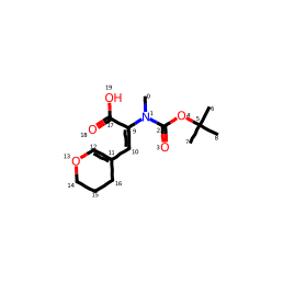 CN(C(=O)OC(C)(C)C)C(=CC1=COCCC1)C(=O)O